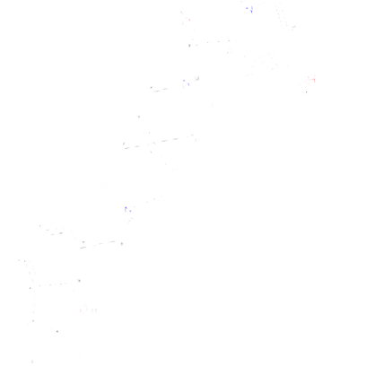 CC1(C)Cc2cccc(CN3CCC4(CC3)CCN(C(=O)c3cc(O)ccn3)CC4)c2O1